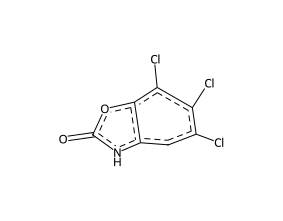 O=c1[nH]c2cc(Cl)c(Cl)c(Cl)c2o1